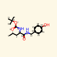 CCCC(NC(=O)OC(C)(C)C)C(=O)NCc1ccc(O)cc1